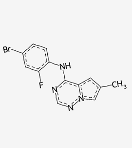 Cc1cc2c(Nc3ccc(Br)cc3F)ncnn2c1